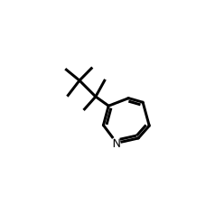 CC(C)(C)C(C)(C)C1=CN=C=CC=C1